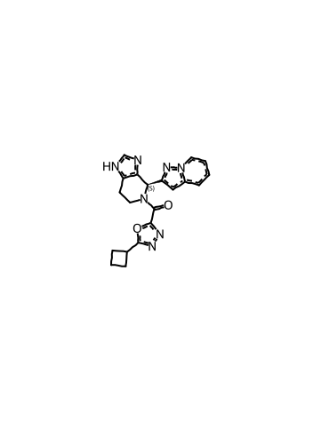 O=C(c1nnc(C2CCC2)o1)N1CCc2[nH]cnc2[C@H]1c1cc2ccccn2n1